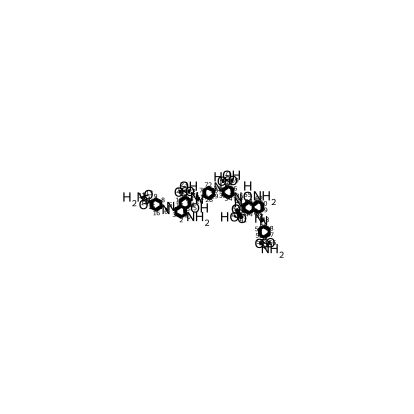 Nc1ccc(N=Nc2ccc(S(N)(=O)=O)cc2)c2cc(S(=O)(=O)O)c(N=Nc3ccc(Nc4ccc(N=Nc5c(S(=O)(=O)O)cc6c(N=Nc7ccc(S(N)(=O)=O)cc7)ccc(N)c6c5O)cc4S(=O)(=O)O)cc3)c(O)c12